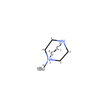 CC(C)(C)[N+]12CCN(CC1)CC2